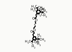 C=C(C)c1cc(CCC(=O)OCCSCCOC(=O)CCc2cc(C(C)(C)C)c(O)c(C(C)(C)C)c2)cc(C(C)(C)C)c1O